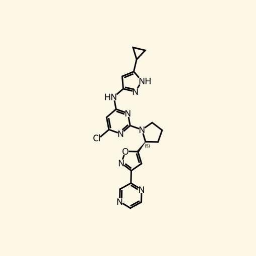 Clc1cc(Nc2cc(C3CC3)[nH]n2)nc(N2CCC[C@H]2c2cc(-c3cnccn3)no2)n1